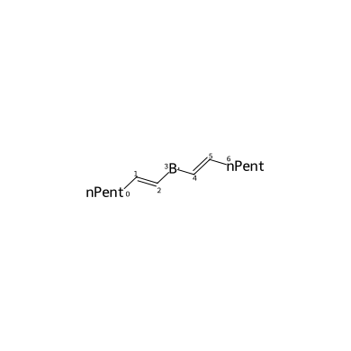 CCCCCC=C[B]C=CCCCCC